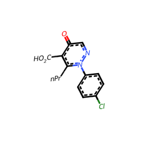 CCCc1c(C(=O)O)c(=O)cnn1-c1ccc(Cl)cc1